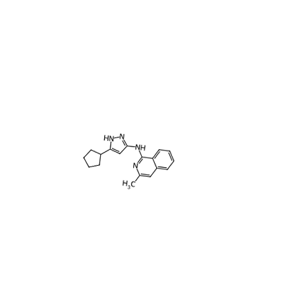 Cc1cc2ccccc2c(Nc2cc(C3CCCC3)[nH]n2)n1